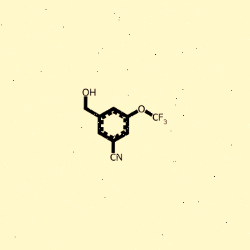 N#Cc1cc(CO)cc(OC(F)(F)F)c1